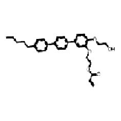 C=CC(=O)OCCOc1cc(-c2ccc(-c3ccc(CCCCC)cc3)cc2)ccc1OCCO